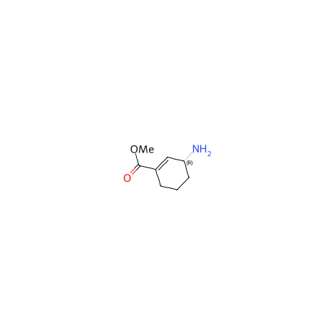 COC(=O)C1=C[C@H](N)CCC1